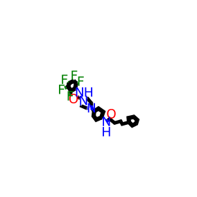 O=C(CCCc1ccccc1)Nc1ccc(N2CCN(C(=O)Nc3c(F)c(F)c(F)c(F)c3F)CC2)cc1